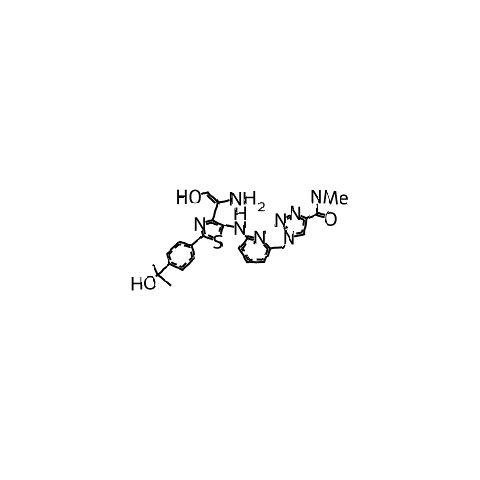 CNC(=O)c1cn(Cc2cccc(Nc3sc(-c4ccc(C(C)(C)O)cc4)nc3/C(N)=C\O)n2)nn1